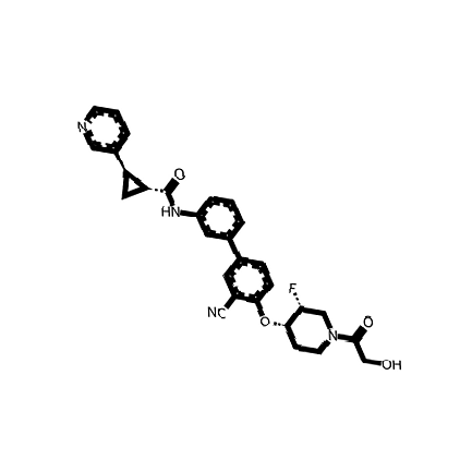 N#Cc1cc(-c2cccc(NC(=O)[C@@H]3C[C@H]3c3cccnc3)c2)ccc1O[C@H]1CCN(C(=O)CO)C[C@H]1F